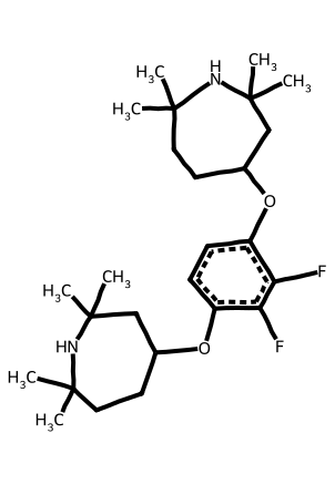 CC1(C)CCC(Oc2ccc(OC3CCC(C)(C)NC(C)(C)C3)c(F)c2F)CC(C)(C)N1